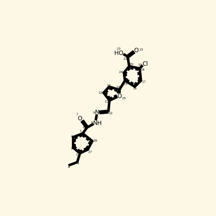 CCc1ccc(C(=O)N/N=C/c2ccc(-c3ccc(Cl)c(C(=O)O)c3)o2)cc1